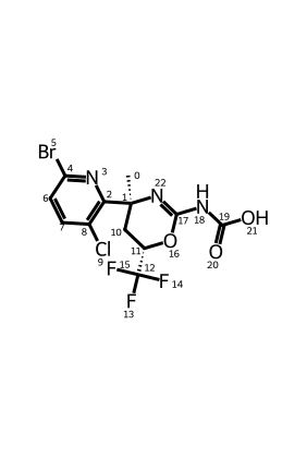 C[C@@]1(c2nc(Br)ccc2Cl)C[C@@H](C(F)(F)F)OC(NC(=O)O)=N1